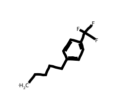 [CH2]CCCCc1ccc(C(F)(F)F)cc1